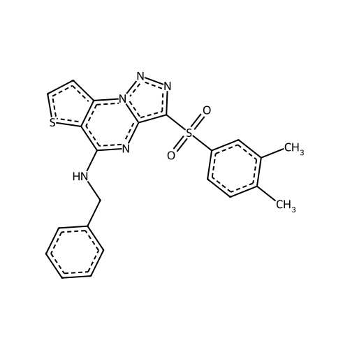 Cc1ccc(S(=O)(=O)c2nnn3c2nc(NCc2ccccc2)c2sccc23)cc1C